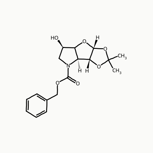 CC1(C)O[C@H]2OC3[C@H](O)CN(C(=O)OCc4ccccc4)[C@@H]3[C@H]2O1